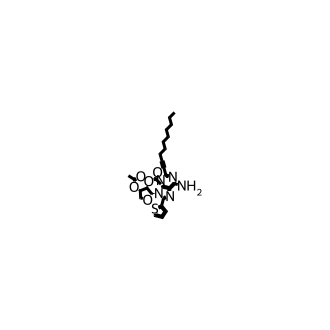 CCCCCCCCC#Cc1nc(N)c2nc(-c3cccs3)n([C@@H]3OC[C@@H](OC(C)=O)[C@H]3OC(C)=O)c2n1